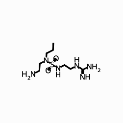 CCCN(CCN)S(=O)(=O)NCCNC(=N)N